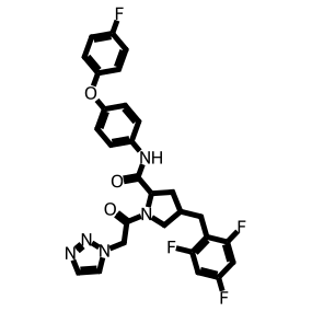 O=C(Nc1ccc(Oc2ccc(F)cc2)cc1)C1CC(Cc2c(F)cc(F)cc2F)CN1C(=O)Cn1ccnn1